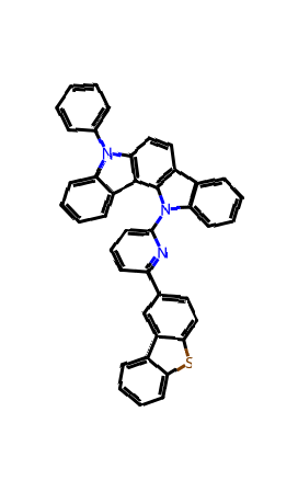 c1ccc(-n2c3ccccc3c3c2ccc2c4ccccc4n(-c4cccc(-c5ccc6sc7ccccc7c6c5)n4)c23)cc1